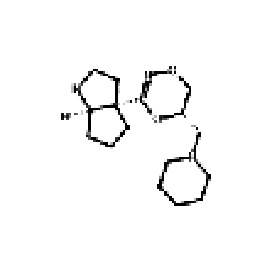 C1CCN(C[C@H]2CON=C([C@]34CCC[C@H]3NCC4)O2)CC1